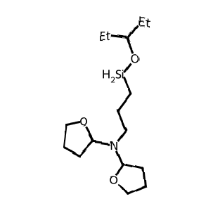 CCC(CC)O[SiH2]CCCN(C1CCCO1)C1CCCO1